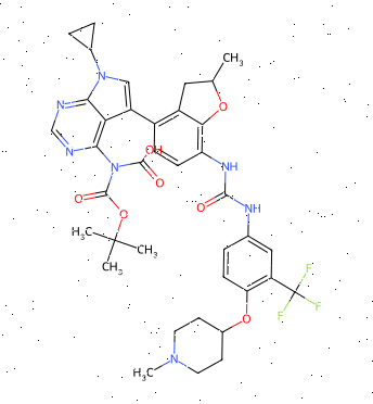 CC1Cc2c(-c3cn(C4CC4)c4ncnc(N(C(=O)O)C(=O)OC(C)(C)C)c34)ccc(NC(=O)Nc3ccc(OC4CCN(C)CC4)c(C(F)(F)F)c3)c2O1